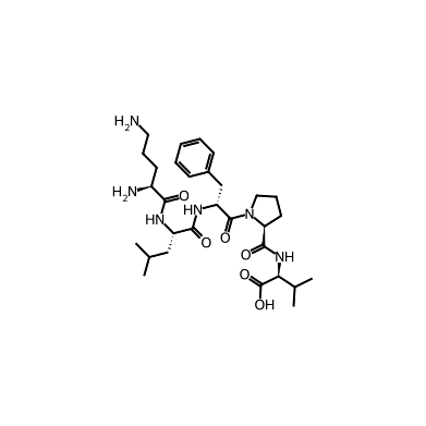 CC(C)C[C@H](NC(=O)[C@@H](N)CCCN)C(=O)N[C@H](Cc1ccccc1)C(=O)N1CCC[C@H]1C(=O)N[C@H](C(=O)O)C(C)C